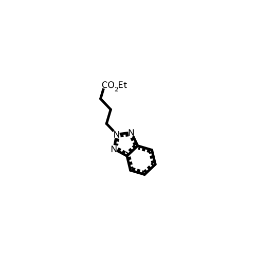 CCOC(=O)CCCn1nc2ccccc2n1